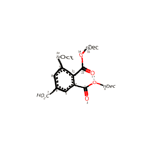 CCCCCCCCCCOC(=O)c1cc(C(=O)O)cc(CCCCCCCC)c1C(=O)OCCCCCCCCCC